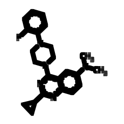 CN(C)c1ccc2nc(C3CC3)nc(N3CCN(c4ccccc4F)CC3)c2c1